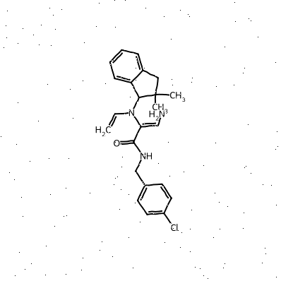 C=CN(/C(=C\N)C(=O)NCc1ccc(Cl)cc1)C1c2ccccc2CC1(C)C